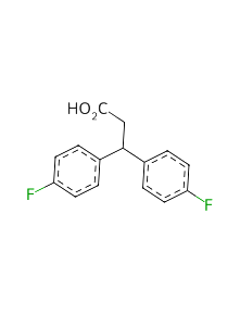 O=C(O)CC(c1ccc(F)cc1)c1ccc(F)cc1